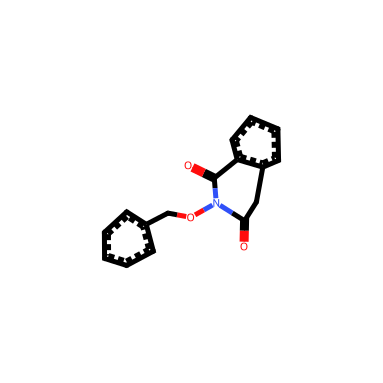 O=C1Cc2ccccc2C(=O)N1OCc1ccccc1